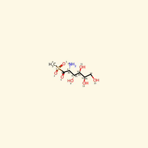 CS(=O)(=O)C(=O)[C@H](N)[C@@H](O)[C@@H](O)[C@H](O)CO